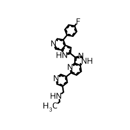 CCNCc1cncc(-c2ccc3[nH]nc(-c4cc5c(-c6ccc(F)cc6)cncc5[nH]4)c3n2)c1